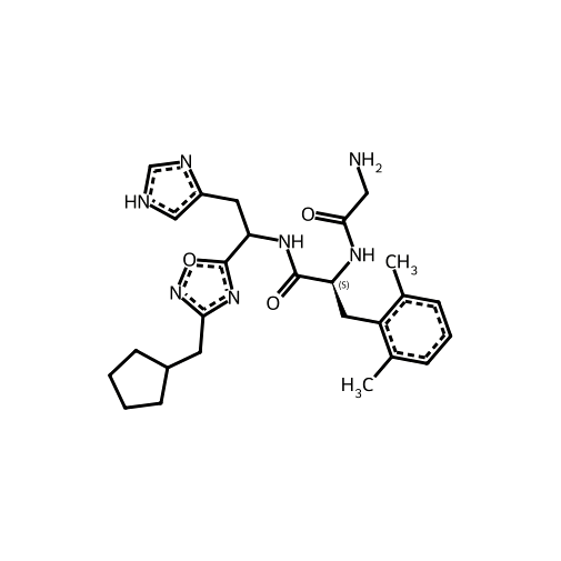 Cc1cccc(C)c1C[C@H](NC(=O)CN)C(=O)NC(Cc1c[nH]cn1)c1nc(CC2CCCC2)no1